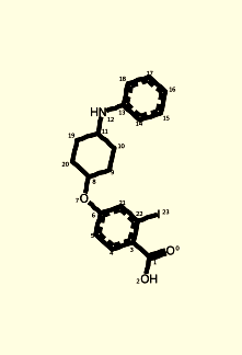 O=C(O)c1ccc(OC2CCC(Nc3ccccc3)CC2)cc1I